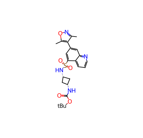 Cc1noc(C)c1-c1cc(S(=O)(=O)N[C@H]2C[C@@H](NC(=O)OC(C)(C)C)C2)c2cccnc2c1